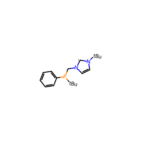 CC(C)(C)N1[C]N(CP(c2ccccc2)C(C)(C)C)C=C1